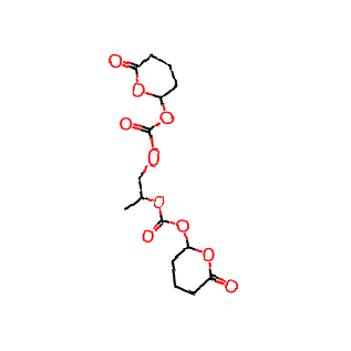 CC(COC(=O)OC1CCCC(=O)O1)OC(=O)OC1CCCC(=O)O1